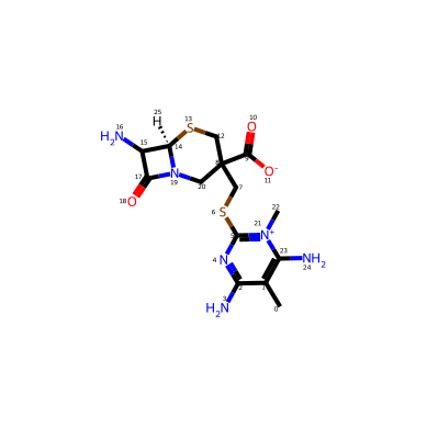 Cc1c(N)nc(SCC2(C(=O)[O-])CS[C@@H]3C(N)C(=O)N3C2)[n+](C)c1N